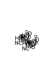 N#Cc1ccc(NC(=O)c2cc3cccc(NC(=O)Cc4ccccc4)c3[nH]2)c(-c2nnn[nH]2)c1.N#Cc1ccc(NC(=O)c2cc3cccc(NC(=O)c4ccccc4)c3[nH]2)c(-c2nnn[nH]2)c1